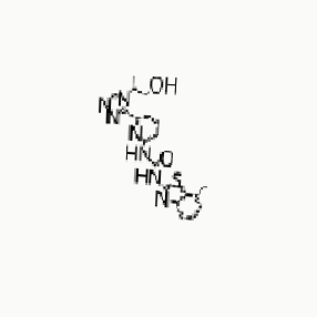 Cc1cccc2nc(NC(=O)Nc3cccc(-c4nncn4C(C)CO)n3)sc12